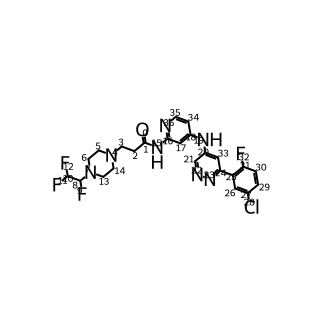 O=C(CCN1CCN(C(F)C(F)F)CC1)Nc1cc(Nc2cnnc(-c3cc(Cl)ccc3F)c2)ccn1